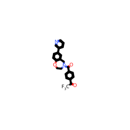 O=C(c1ccc(C(=O)C(F)(F)F)cc1)N1CCOc2ccc(-c3cccnc3)cc2C1